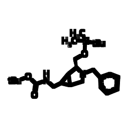 CC(C)(C)OC(=O)NCC1C2CN(Cc3ccccc3)[C@H](CO[Si](C)(C)C(C)(C)C)C12